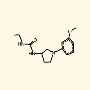 CCNC(=O)NC1CCN(c2cccc(OC)c2)C1